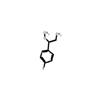 CCC(OC)c1ccc(F)cc1